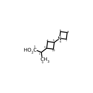 CC(C(=O)O)C1CC(N2CCC2)C1